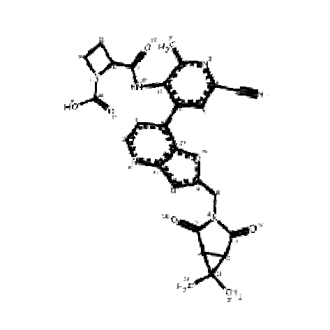 Cc1nc(C#N)cc(-c2ccnc3cc(CN4C(=O)C5C(C4=O)C5(C)C)sc23)c1NC(=O)C1CCN1C(=O)O